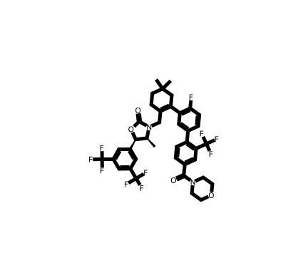 C[C@H]1[C@@H](c2cc(C(F)(F)F)cc(C(F)(F)F)c2)OC(=O)N1CC1=C(c2cc(-c3ccc(C(=O)N4CCOCC4)cc3C(F)(F)F)ccc2F)CC(C)(C)CC1